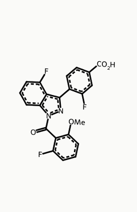 COc1cccc(F)c1C(=O)n1nc(-c2ccc(C(=O)O)cc2F)c2c(F)cccc21